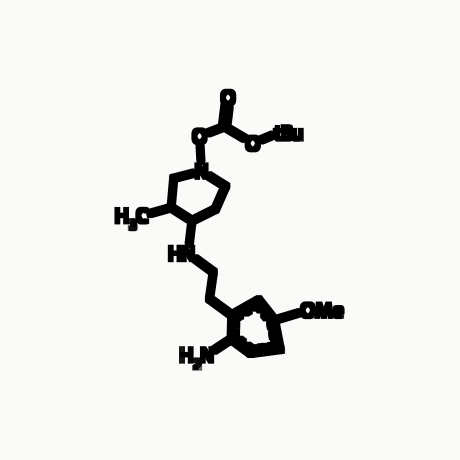 COc1ccc(N)c(CCNC2CCN(OC(=O)OC(C)(C)C)CC2C)c1